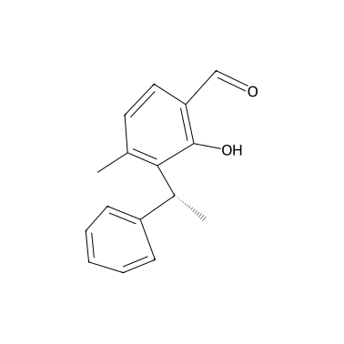 Cc1ccc(C=O)c(O)c1[C@H](C)c1ccccc1